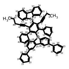 CCC#Cc1c(-c2ccccc2)c(-n2c3ccc(-c4ccccc4)cc3c3cc(-c4ccccc4)ccc32)c(-c2ccccc2)c(C#CCCC)c1-n1c2ccccc2c2ccccc21